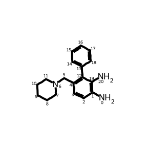 Nc1ccc(CN2CCCCC2)c(-c2ccccc2)c1N